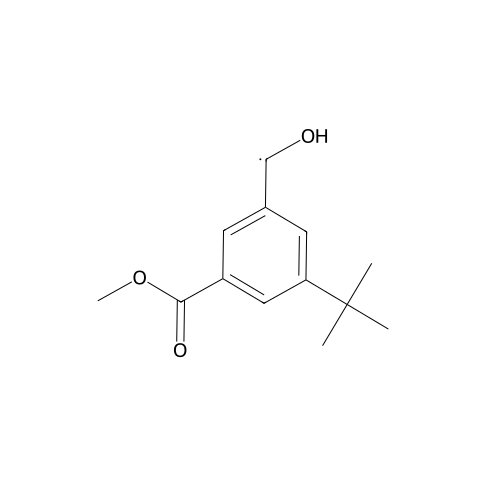 COC(=O)c1cc([CH]O)cc(C(C)(C)C)c1